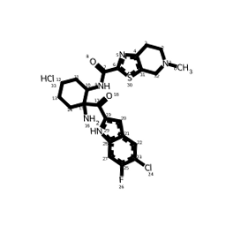 CN1CCc2nc(C(=O)NC3CCCCC3(N)C(=O)c3cc4cc(Cl)c(F)cc4[nH]3)sc2C1.Cl